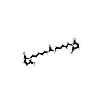 O=C(OCCCCCN1C(=O)C=CC1=O)OCCCCCN1C(=O)C=CC1=O